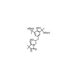 CCCCCC(C)(C)c1cc(CC(O)CN2C(=O)NC(C)(C)C2=O)cc(C(C)(C)CCCCC)c1O